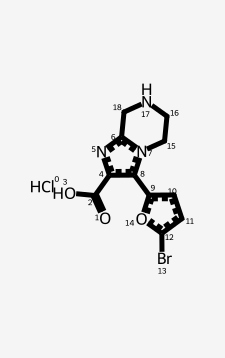 Cl.O=C(O)c1nc2n(c1-c1ccc(Br)o1)CCNC2